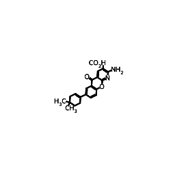 CC1(C)CC=C(c2ccc3oc4nc(N)c(C(=O)O)cc4c(=O)c3c2)CC1